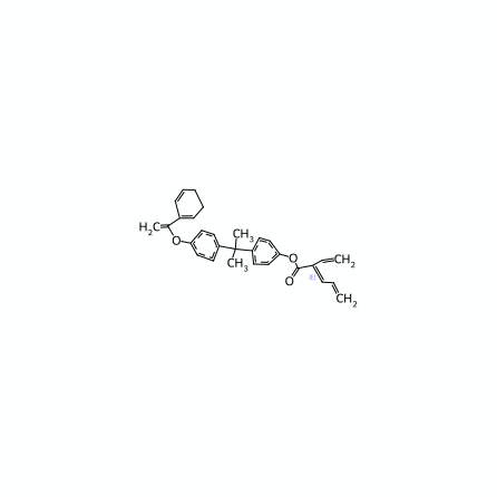 C=C/C=C(\C=C)C(=O)Oc1ccc(C(C)(C)c2ccc(OC(=C)C3=CCCC=C3)cc2)cc1